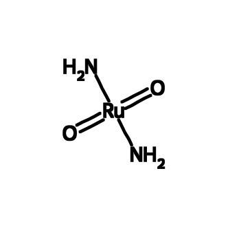 [NH2][Ru]([NH2])(=[O])=[O]